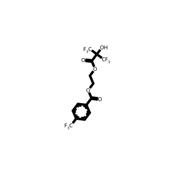 O=C(OCCOC(=O)C(O)(C(F)(F)F)C(F)(F)F)c1ccc(C(F)(F)F)cc1